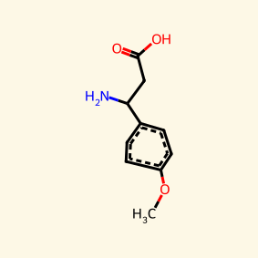 COc1ccc(C(N)CC(=O)O)cc1